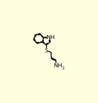 NC=CCSc1c[nH]c2ccccc12